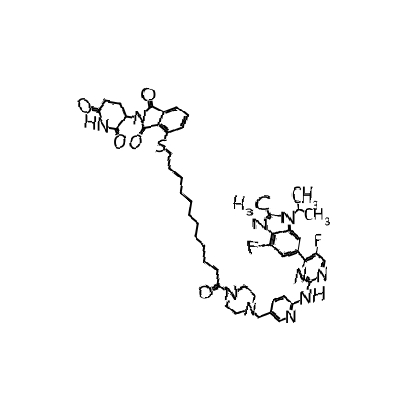 Cc1nc2c(F)cc(-c3nc(Nc4ccc(CN5CCN(C(=O)CCCCCCCCCCCSc6cccc7c6C(=O)N(C6CCC(=O)NC6=O)C7=O)CC5)cn4)ncc3F)cc2n1C(C)C